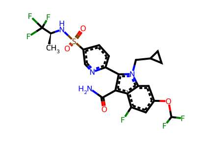 C[C@H](NS(=O)(=O)c1ccc(-c2c(C(N)=O)c3c(F)cc(OC(F)F)cc3n2CC2CC2)nc1)C(F)(F)F